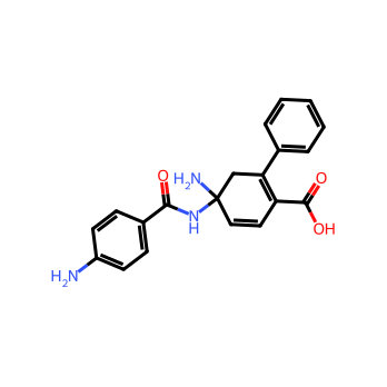 Nc1ccc(C(=O)NC2(N)C=CC(C(=O)O)=C(c3ccccc3)C2)cc1